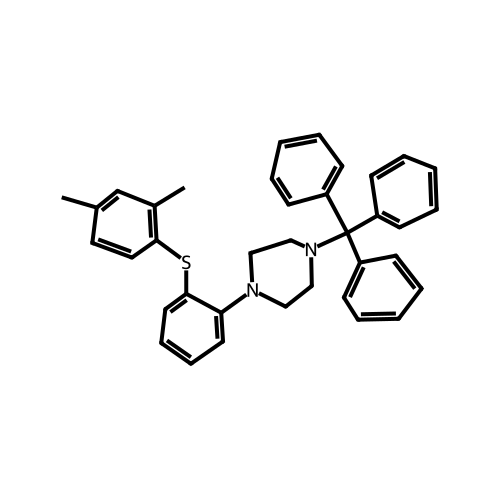 Cc1ccc(Sc2ccccc2N2CCN(C(c3ccccc3)(c3ccccc3)c3ccccc3)CC2)c(C)c1